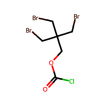 O=C(Cl)OCC(CBr)(CBr)CBr